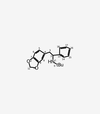 CC(C)(C)NC(Cc1ccc2c(c1)OCO2)c1ccccc1